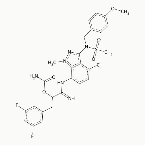 COc1ccc(CN(c2nn(C)c3c(NC(=N)C(Cc4cc(F)cc(F)c4)OC(N)=O)ccc(Cl)c23)S(C)(=O)=O)cc1